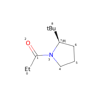 CCC(=O)N1CCC[C@@H]1C(C)(C)C